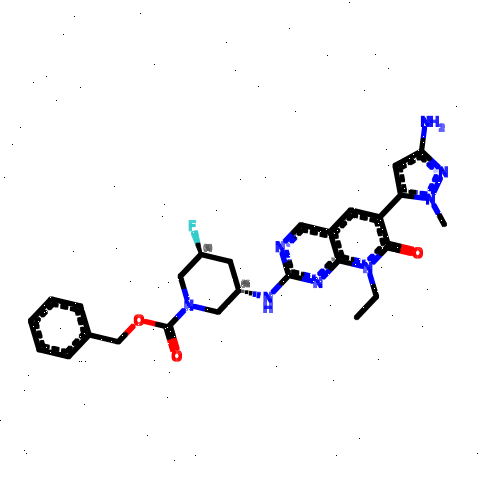 CCn1c(=O)c(-c2cc(N)nn2C)cc2cnc(N[C@H]3C[C@H](F)CN(C(=O)OCc4ccccc4)C3)nc21